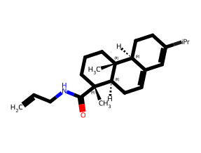 C=CCNC(=O)[C@]1(C)CCC[C@@]2(C)[C@H]1CC=C1C=C(C(C)C)CC[C@@H]12